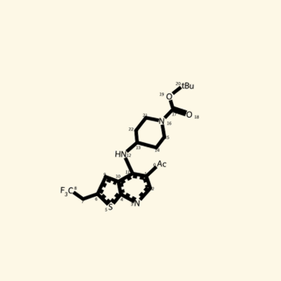 CC(=O)c1cnc2sc(CC(F)(F)F)cc2c1NC1CCN(C(=O)OC(C)(C)C)CC1